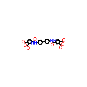 O=C(NC1=CC=C(C2=CC=C(NC(=O)c3ccc4c(c3)C(=O)OC4=O)CC2)CC1)c1ccc2c(c1)C(=O)OC2=O